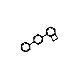 c1ccc(-c2ccc(-c3cccc4c3CC4)cc2)cc1